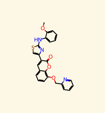 COc1ccccc1Nc1nc(-c2cc3cccc(OCc4ccccn4)c3oc2=O)cs1